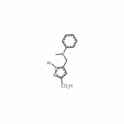 CC(=O)n1nc(C(=O)O)cc1CN(C)c1ccccc1